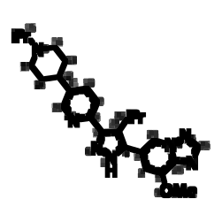 COc1cc(-c2[nH]nc(-c3ccc(C4CCN(C(C)C)CC4)cn3)c2C(C)C)cn2ncnc12